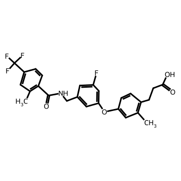 Cc1cc(Oc2cc(F)cc(CNC(=O)c3ccc(C(F)(F)F)cc3C)c2)ccc1CCC(=O)O